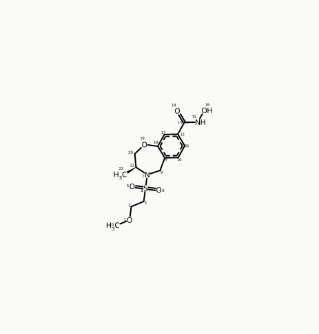 COCCS(=O)(=O)N1Cc2ccc(C(=O)NO)cc2OC[C@@H]1C